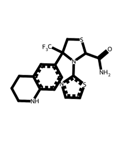 NC(=O)C1SCC(c2ccc3c(c2)CCCN3)(C(F)(F)F)N1c1nccs1